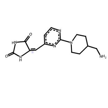 NCC1CCN(c2nccc(/C=C3/NC(=O)NC3=O)n2)CC1